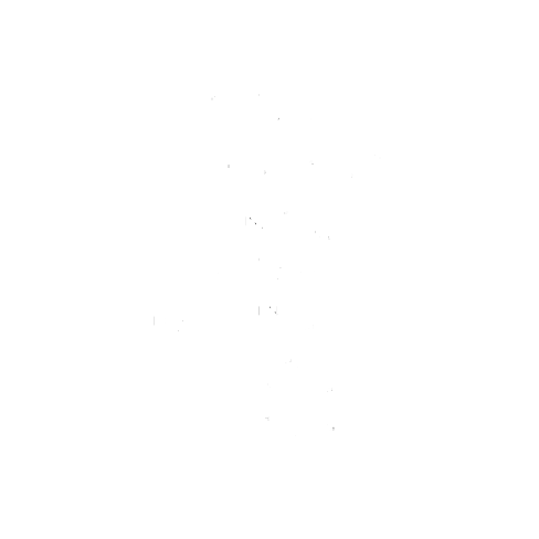 O=C(O)CC[C@H](NC(=O)C1c2ccccc2-c2ccccc21)C(=O)NCc1ccccc1